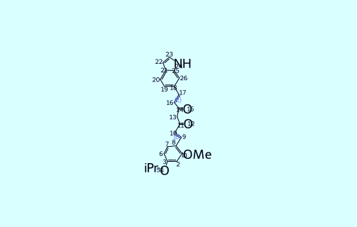 COc1cc(OC(C)C)ccc1/C=C/C(=O)CC(=O)/C=C/c1ccc2cc[nH]c2c1